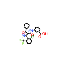 O=C(O)c1cccc(NC(=O)c2c(-c3c(Cl)cccc3C(F)(F)F)noc2-c2ccccc2)c1